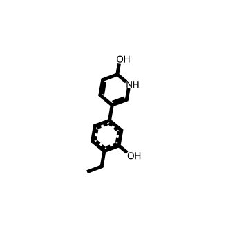 CCc1ccc(C2=CNC(O)C=C2)cc1O